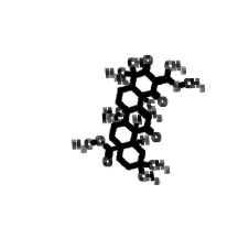 COC(=O)[C@]12CCC(C)(C)C[C@H]1[C@H]1C(=O)C=C3[C@@]4(C)C(=O)/C(=C(/C)SC)C(=O)C(C)(C)[C@@H]4CC[C@@]3(C)[C@]1(C)CC2